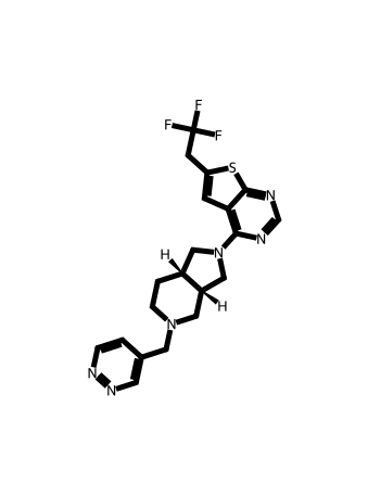 FC(F)(F)Cc1cc2c(N3C[C@H]4CCN(Cc5ccnnc5)C[C@H]4C3)ncnc2s1